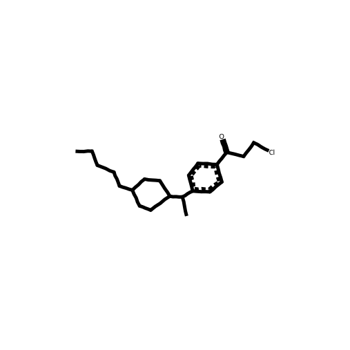 CCCCCC1CCC(C(C)c2ccc(C(=O)CCCl)cc2)CC1